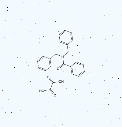 O=C(O)C(=O)O.O=C(c1ccccc1)N(Cc1ccccc1)Cc1ccccc1